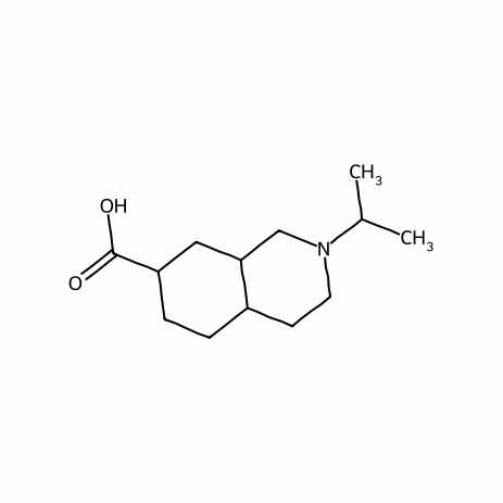 CC(C)N1CCC2CCC(C(=O)O)CC2C1